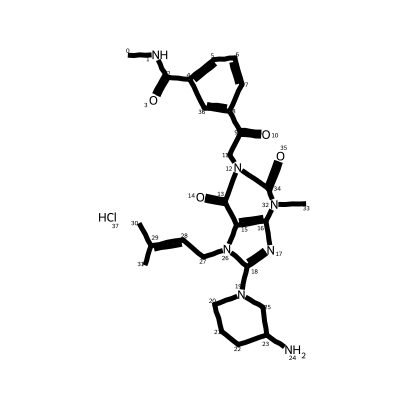 CNC(=O)c1cccc(C(=O)Cn2c(=O)c3c(nc(N4CCCC(N)C4)n3CC=C(C)C)n(C)c2=O)c1.Cl